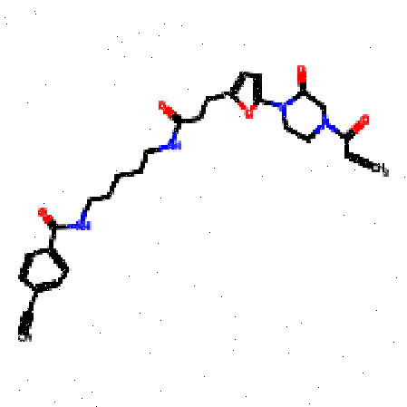 C#Cc1ccc(C(=O)NCCCCCNC(=O)CCc2ccc(N3CCN(C(=O)C=C)CC3=O)o2)cc1